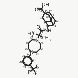 CC(C)(C(=O)NC1C2CC3CC1CC(C(=O)O)(C3)C2)N1CCCN(c2cccc(C(F)(F)F)c2)CCC1